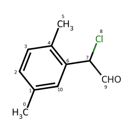 Cc1ccc(C)c(C(Cl)C=O)c1